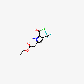 CCOC(=O)Cc1cc(C(F)(F)F)c(C(=O)Cl)n1C